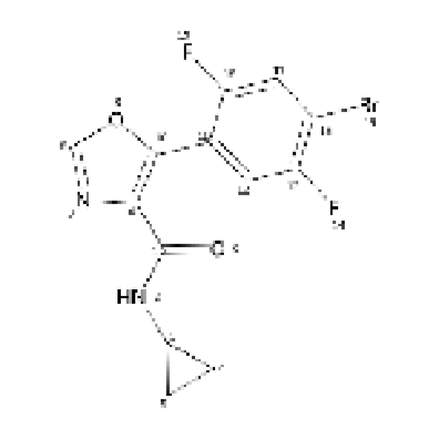 O=C(NC1CC1)c1ncoc1-c1cc(F)c(Br)cc1F